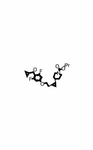 CC(C)OC(=O)N1CCC([C@H]2C[C@H]2CCOc2cc(F)c(C(=O)C3CC3)c(F)c2)CC1